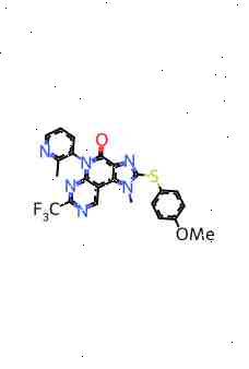 COc1ccc(Sc2nc3c(=O)n(-c4cccnc4C)c4nc(C(F)(F)F)ncc4c3n2C)cc1